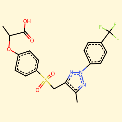 Cc1nn(-c2ccc(C(F)(F)F)cc2)nc1CS(=O)(=O)c1ccc(OC(C)C(=O)O)cc1